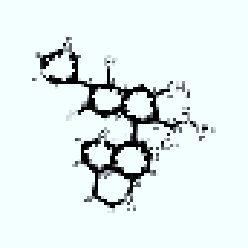 Cc1cc2c(F)c(-c3cncnc3)c(F)cc2c(-c2ccc3c4c(ccnc24)CCO3)c1[C@H](OC(C)(C)C)C(=O)O